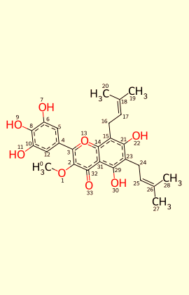 COc1c(-c2cc(O)c(O)c(O)c2)oc2c(CC=C(C)C)c(O)c(CC=C(C)C)c(O)c2c1=O